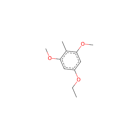 CCOc1cc(OC)c(C)c(OC)c1